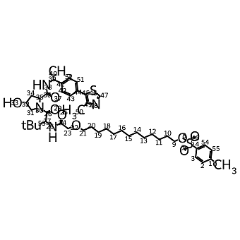 Cc1ccc(S(=O)(=O)OCCCCCCCCCCCCCOCC(=O)N[C@H](C(=O)N2C[C@H](O)C[C@H]2C(=O)N[C@@H](C)c2ccc(-c3scnc3C)cc2)C(C)(C)C)cc1